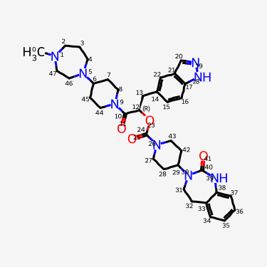 CN1CCCN(C2CCN(C(=O)[C@@H](Cc3ccc4[nH]ncc4c3)OC(=O)N3CCC(N4CCc5ccccc5NC4=O)CC3)CC2)CC1